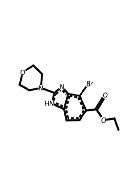 CCOC(=O)c1ccc2[nH]c(N3CCOCC3)nc2c1Br